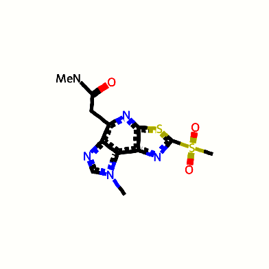 CNC(=O)Cc1nc2sc(S(C)(=O)=O)nc2c2c1ncn2C